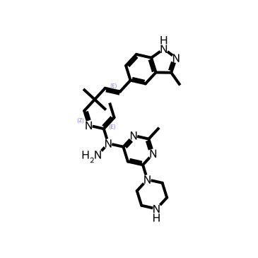 C/C=C(\N=C/C(C)(C)/C=C/c1ccc2[nH]nc(C)c2c1)N(N)c1cc(N2CCNCC2)nc(C)n1